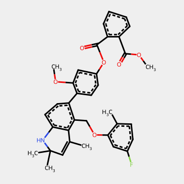 COC(=O)c1ccccc1C(=O)Oc1ccc(-c2ccc3c(c2COc2cc(F)ccc2C)C(C)=CC(C)(C)N3)c(OC)c1